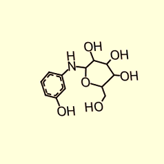 OCC1OC(Nc2cccc(O)c2)C(O)C(O)C1O